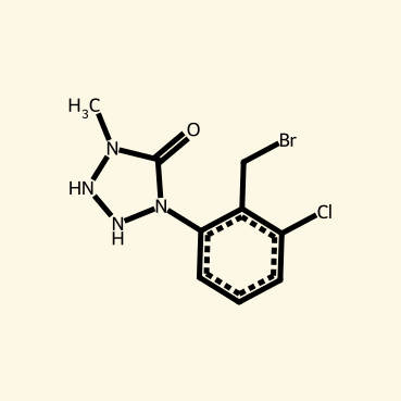 CN1NNN(c2cccc(Cl)c2CBr)C1=O